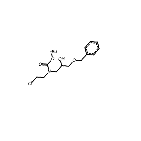 CC(C)(C)OC(=O)N(CCCl)CC(O)COCc1ccccc1